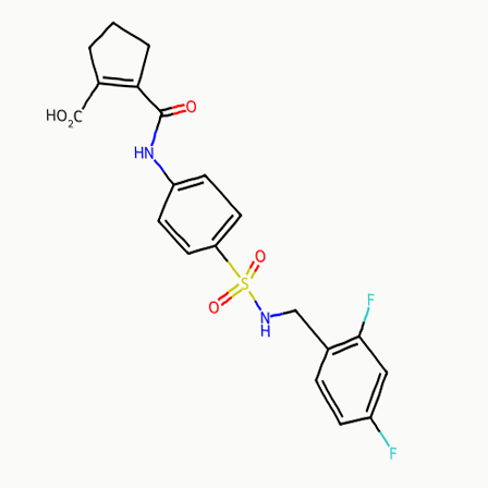 O=C(O)C1=C(C(=O)Nc2ccc(S(=O)(=O)NCc3ccc(F)cc3F)cc2)CCC1